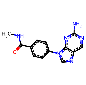 CNC(=O)c1ccc(-n2cnc3cnc(N)nc32)cc1